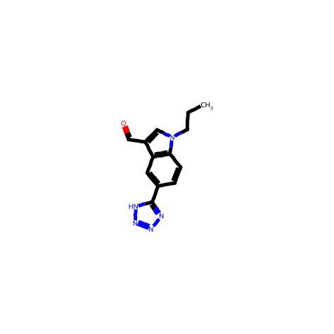 CCCn1cc(C=O)c2cc(-c3nnn[nH]3)ccc21